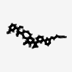 COCCOc1cccc(-c2cccc(C3(c4nc5c(c(=O)[nH]4)CN(C(=O)[C@H](O)c4cccc(Cl)c4)CCC5)CC3)c2)c1